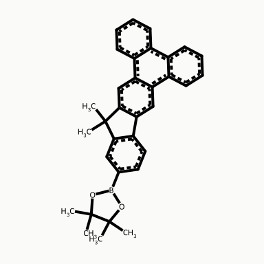 CC1(C)c2cc(B3OC(C)(C)C(C)(C)O3)ccc2-c2cc3c4ccccc4c4ccccc4c3cc21